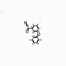 N#CC(=O)c1cccc(Oc2ccccc2)c1